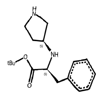 CC(C)(C)OC(=O)[C@H](Cc1ccccc1)N[C@H]1CCNC1